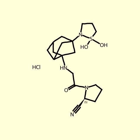 Cl.N#C[C@@H]1CCCN1C(=O)CNC12CC3CC1CC(N1CCCS1(O)O)(C3)C2